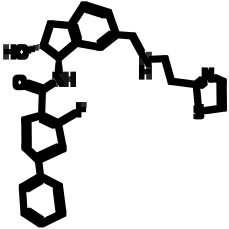 O=C(N[C@@H]1c2cc(CNCCc3nccs3)ccc2C[C@H]1O)c1ccc(-c2ccccc2)cc1F